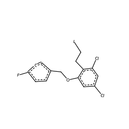 Fc1ccc(COc2cc(Cl)cc(Cl)c2CCI)cc1